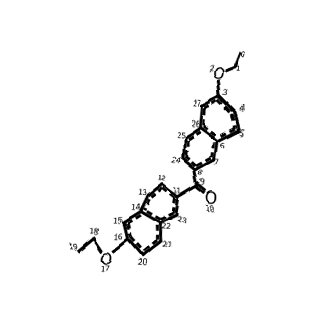 CCOc1ccc2cc(C(=O)c3ccc4cc(OCC)ccc4c3)ccc2c1